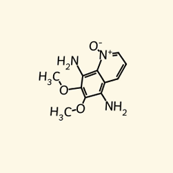 COc1c(OC)c(N)c2c(ccc[n+]2[O-])c1N